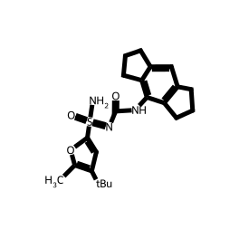 Cc1oc(S(N)(=O)=NC(=O)Nc2c3c(cc4c2CCC4)CCC3)cc1C(C)(C)C